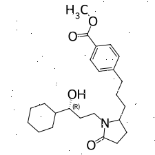 COC(=O)c1ccc(CCCC2CCC(=O)N2CC[C@@H](O)C2CCCCC2)cc1